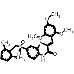 COc1cc(OC)c(/C=C2\Sc3cc(S(=O)(=O)Cc4c(C)cccc4C)ccc3NC2=O)c(OC)c1